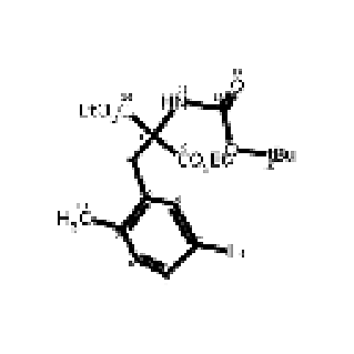 CCOC(=O)C(Cc1cc(I)ccc1C)(NC(=O)OC(C)(C)C)C(=O)OCC